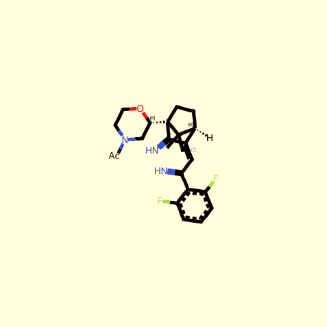 CC(=O)N1CCO[C@H](C23CC[C@@H](/C(=C/C(=N)c4c(F)cccc4F)C2=N)C3(C)C)C1